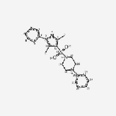 Cc1nn(-c2ccccc2)c(C)c1S(=O)(=O)N1CCN(c2ccccn2)CC1